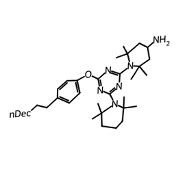 CCCCCCCCCCCCc1ccc(Oc2nc(N3C(C)(C)CCCC3(C)C)nc(N3C(C)(C)CC(N)CC3(C)C)n2)cc1